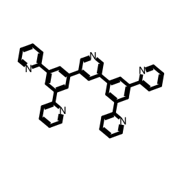 c1ccc(-c2cc(-c3cncc(-c4cc(-c5ccccn5)cc(-c5ccccn5)c4)c3)cc(-c3ccccn3)c2)nc1